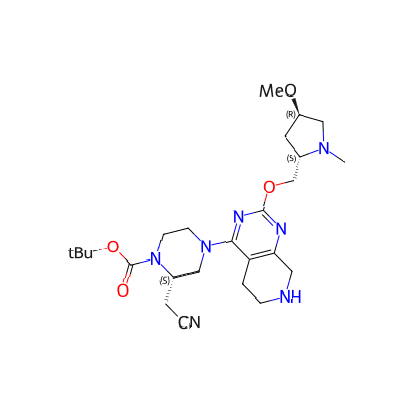 CO[C@@H]1C[C@@H](COc2nc3c(c(N4CCN(C(=O)OC(C)(C)C)[C@@H](CC#N)C4)n2)CCNC3)N(C)C1